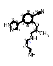 C[C@@H](CN/C=N\C=N)Oc1cc(-c2cn[nH]c2)ccc1C#N